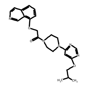 CC(C)COc1cc(N2CCN(C(=O)COc3cccc4ccncc34)CC2)ncn1